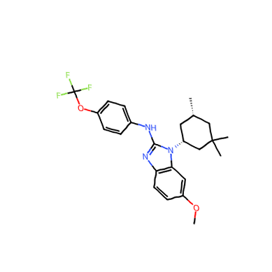 COc1ccc2nc(Nc3ccc(OC(F)(F)F)cc3)n([C@@H]3C[C@H](C)CC(C)(C)C3)c2c1